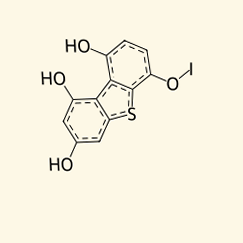 Oc1cc(O)c2c(c1)sc1c(OI)ccc(O)c12